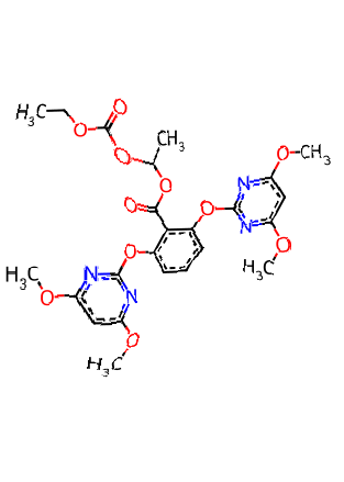 CCOC(=O)OC(C)OC(=O)c1c(Oc2nc(OC)cc(OC)n2)cccc1Oc1nc(OC)cc(OC)n1